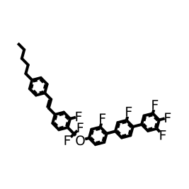 CCCCCc1ccc(/C=C/c2ccc(C(F)(F)Oc3ccc(-c4ccc(-c5cc(F)c(F)c(F)c5)c(F)c4)c(F)c3)c(F)c2)cc1